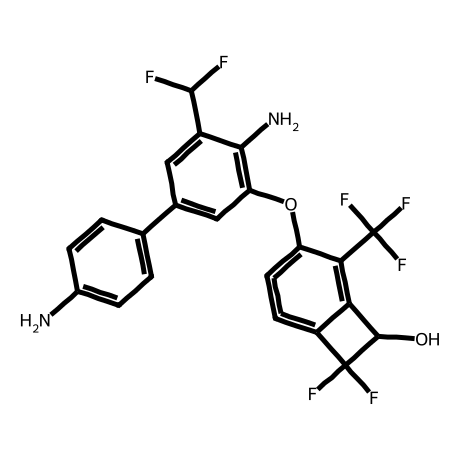 Nc1ccc(-c2cc(OC3=C=C=C4C(=C3C(F)(F)F)C(O)C4(F)F)c(N)c(C(F)F)c2)cc1